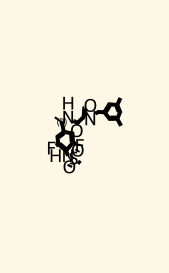 Cc1cc(C)cc(-c2nc(C(=O)N[C@H](C)c3cc(F)c(NS(C)(=O)=O)c(F)c3)co2)c1